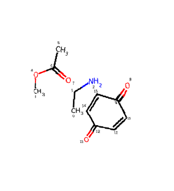 CCN.COC(C)=O.O=C1C=CC(=O)C=C1